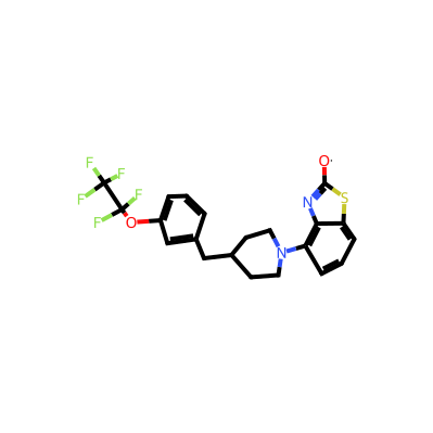 [O]c1nc2c(N3CCC(Cc4cccc(OC(F)(F)C(F)(F)F)c4)CC3)cccc2s1